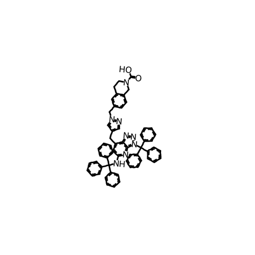 O=C(O)N1CCc2cc(Cn3cc(Cc4cc(NC(c5ccccc5)(c5ccccc5)c5ccccc5)nc5c4nnn5C(c4ccccc4)(c4ccccc4)c4ccccc4)cn3)ccc2C1